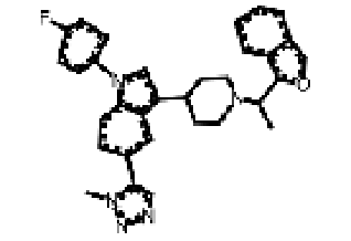 CC(c1occ2ccccc12)N1CCC(c2cn(-c3ccc(F)cc3)c3ccc(-c4cnnn4C)cc23)CC1